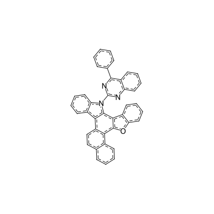 c1ccc(-c2nc(-n3c4ccccc4c4c5ccc6ccccc6c5c5oc6ccccc6c5c43)nc3ccccc23)cc1